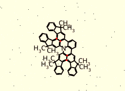 CC1(C)c2ccccc2-c2ccc(-c3cccc(-c4ccc5c(c4)C(C)(C)c4ccccc4-5)c3N(c3ccc4c(c3)C(C)(C)c3ccccc3-4)c3ccc4c(c3)C(C)(C)c3ccccc3-4)cc21